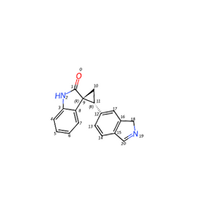 O=C1Nc2ccccc2[C@]12C[C@@H]2c1ccc2c(c1)CN=C2